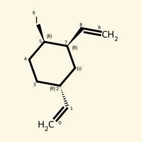 C=C[C@@H]1CC[C@@H](I)[C@@H](C=C)C1